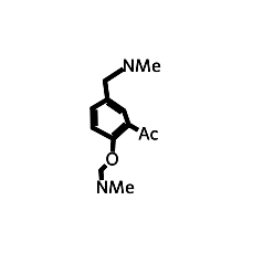 CNCOc1ccc(CNC)cc1C(C)=O